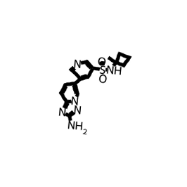 CC1(NS(=O)(=O)c2cncc(-c3ccc4nc(N)nn4c3)c2)CCC1